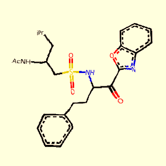 CC(=O)NC(CC(C)C)CS(=O)(=O)NC(CCc1ccccc1)C(=O)c1nc2ccccc2o1